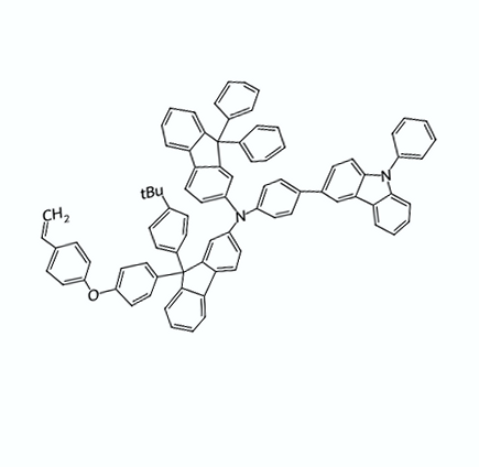 C=Cc1ccc(Oc2ccc(C3(c4ccc(C(C)(C)C)cc4)c4ccccc4-c4ccc(N(c5ccc(-c6ccc7c(c6)c6ccccc6n7-c6ccccc6)cc5)c5ccc6c(c5)C(c5ccccc5)(c5ccccc5)c5ccccc5-6)cc43)cc2)cc1